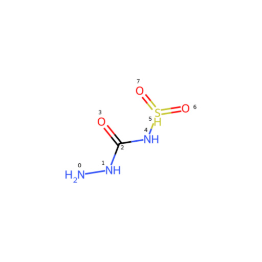 NNC(=O)N[SH](=O)=O